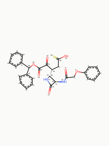 O=C(COc1ccccc1)N[C@H]1C(=O)N[C@@H]1C(CC(O)=S)C(=O)C(=O)OC(c1ccccc1)c1ccccc1